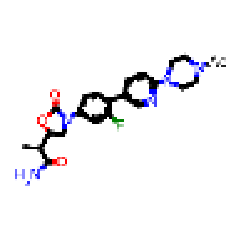 CC(=O)N1CCN(c2ccc(-c3ccc(N4CC([C@H](C)C(N)=O)OC4=O)cc3F)cn2)CC1